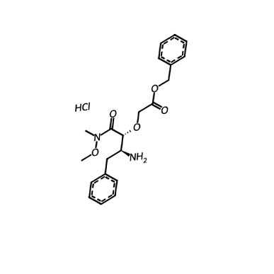 CON(C)C(=O)[C@H](OCC(=O)OCc1ccccc1)[C@@H](N)Cc1ccccc1.Cl